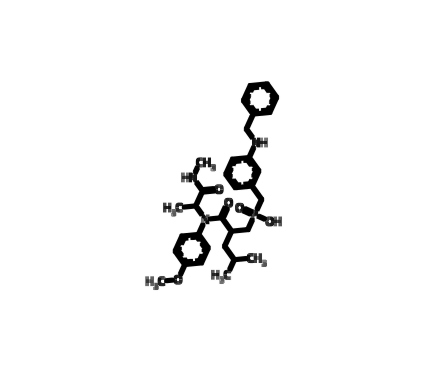 CNC(=O)C(C)N(C(=O)C(CC(C)C)CP(=O)(O)Cc1cccc(NCc2ccccc2)c1)c1ccc(OC)cc1